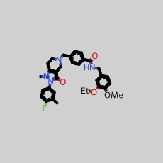 CCOc1cc(CNC(=O)c2ccc(CN3CCc4c(c(=O)n(-c5ccc(F)c(C)c5)n4C)C3)cc2)ccc1OC